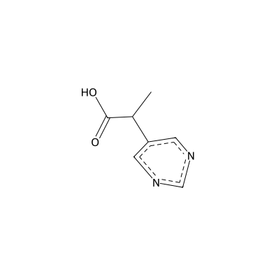 CC(C(=O)O)c1cncnc1